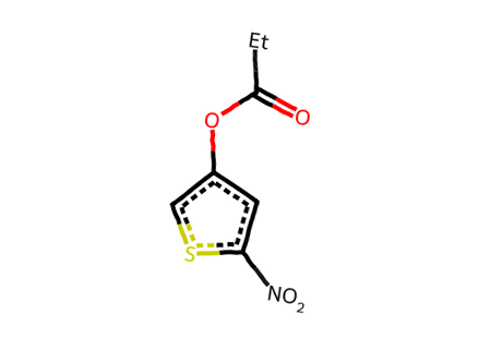 CCC(=O)Oc1csc([N+](=O)[O-])c1